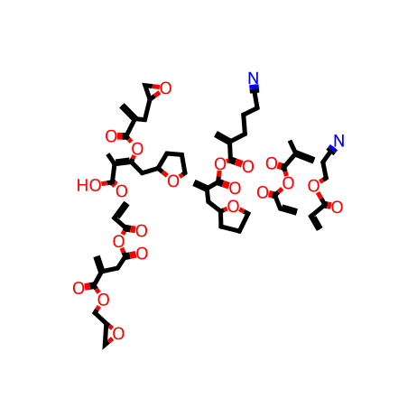 C=C(CC1CO1)C(=O)OC(CC1CCCO1)=C(C)C(=O)O.C=C(CCCC#N)C(=O)OC(=O)C(=C)CC1CCCO1.C=CC(=O)OC(=O)C(=C)C.C=CC(=O)OC(=O)CC(=C)C(=O)OCC1CO1.C=CC(=O)OCCC#N